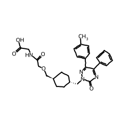 Cc1ccc(-c2nn(C[C@H]3CC[C@H](COCC(=O)NCC(=O)O)CC3)c(=O)nc2-c2ccccc2)cc1